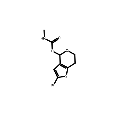 CNC(=O)OC1OCCc2sc(Br)cc21